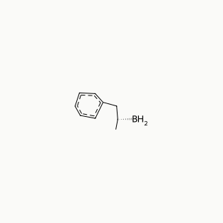 B[C@H](C)Cc1ccccc1